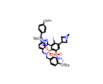 COc1ccc(CN(Cc2ccc(OC)cc2)S(=O)(=O)c2c(S(N)(=O)=O)cc(C3CN(C)C3)c(I)c2-c2nnn(Cc3ccc(OC)cc3)n2)cc1